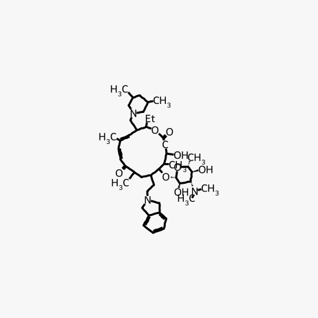 CCC1OC(=O)CC(O)C(C)C(O[C@@H]2O[C@H](C)[C@@H](O)[C@H](N(C)C)[C@H]2O)C(CCN2Cc3ccccc3C2)CC(C)C(=O)/C=C\C(C)=C\C1CN1CC(C)CC(C)C1